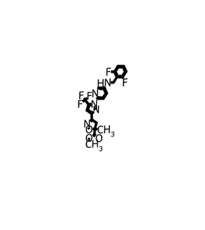 COC(=O)C1(C)CC(c2cc(C(F)(F)F)n(-c3ccc(NCc4c(F)cccc4F)cn3)n2)=NO1